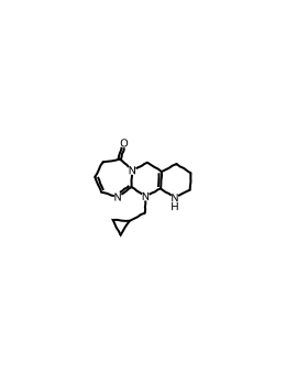 O=C1CC=CN=C2N1CC1=C(NCCC1)N2CC1CC1